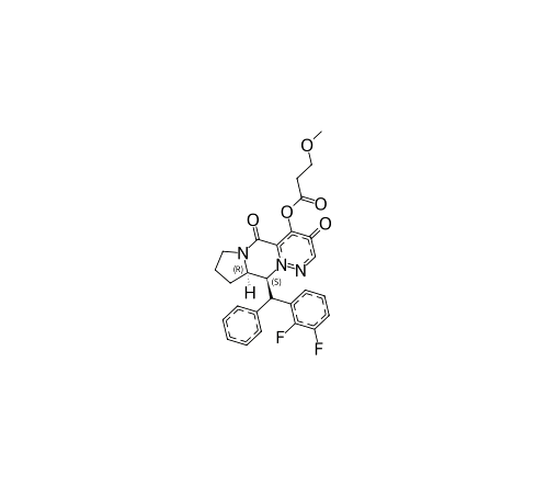 COCCC(=O)Oc1c2n(ncc1=O)[C@@H](C(c1ccccc1)c1cccc(F)c1F)[C@H]1CCCN1C2=O